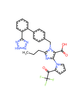 CCCc1nc(-n2cccc2C(=O)C(F)(F)F)c(C(=O)O)n1Cc1ccc(-c2ccccc2-c2nn[nH]n2)cc1